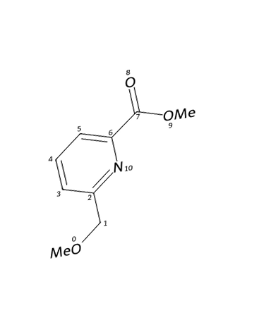 COCc1cccc(C(=O)OC)n1